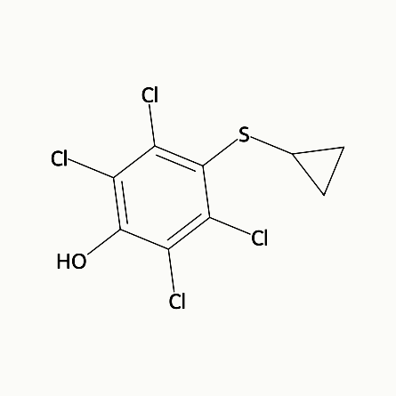 Oc1c(Cl)c(Cl)c(SC2CC2)c(Cl)c1Cl